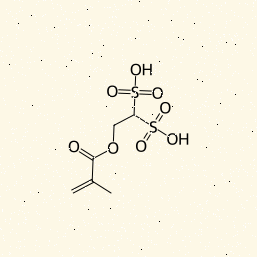 C=C(C)C(=O)OCC(S(=O)(=O)O)S(=O)(=O)O